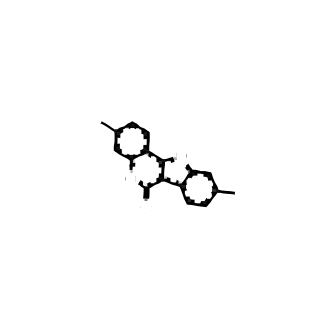 Cc1ccc2c(c1)oc(=O)c1c3ccc(C)cc3oc21